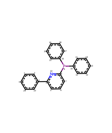 c1ccc(-c2cccc(P(c3ccccc3)c3ccccc3)n2)cc1